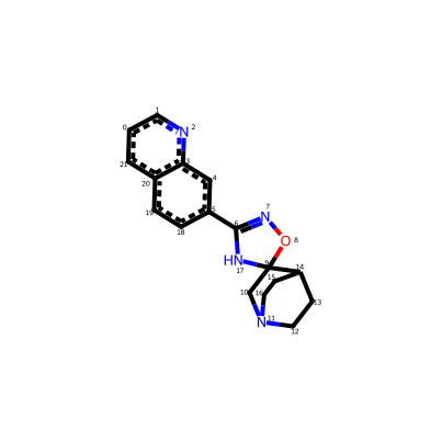 c1cnc2cc(C3=NOC4(CN5CCC4CC5)N3)ccc2c1